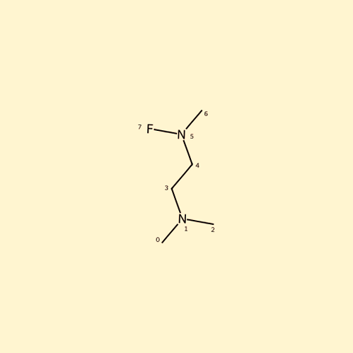 CN(C)CCN(C)F